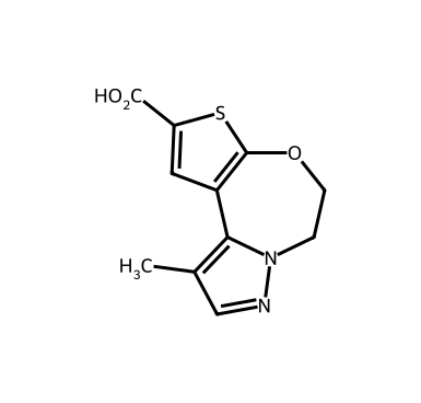 Cc1cnn2c1-c1cc(C(=O)O)sc1OCC2